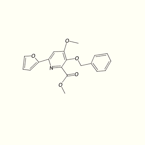 COC(=O)c1nc(-c2ccco2)cc(OC)c1OCc1ccccc1